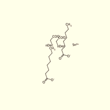 CCCCCCCC(=O)[O-].CCCCCCCC(=O)[O-].CCCCCCCCCCCC(=O)[O-].CCCCCCCCCCCC(=O)[O-].[Sn+4]